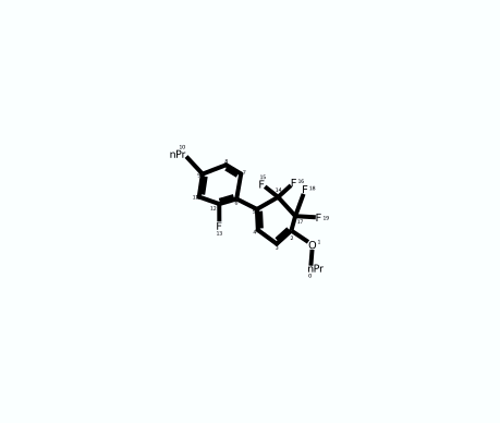 CCCOC1=CC=C(c2ccc(CCC)cc2F)C(F)(F)C1(F)F